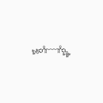 O=C(NCCCCCCCNC(=O)c1ccc(OC(Br)(Br)Br)cc1)c1ccc(OC(Br)(Br)Br)cc1